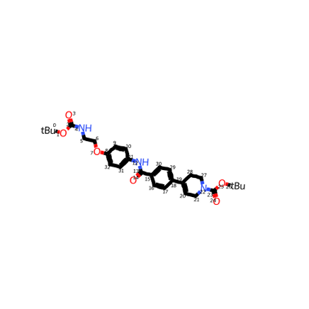 CC(C)(C)OC(=O)NCCOc1ccc(NC(=O)c2ccc(C3=CCN(C(=O)OC(C)(C)C)CC3)cc2)cc1